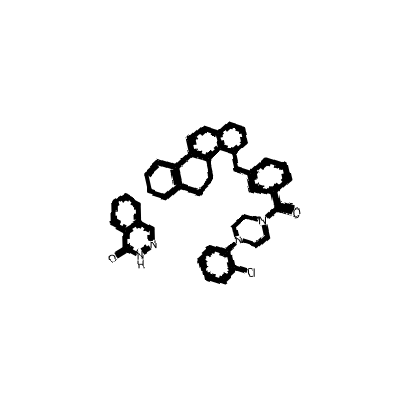 O=C(c1cccc(Cc2cccc3ccc4c(c23)CCC2=C4C=CCC2)c1)N1CCN(c2ccccc2Cl)CC1.O=c1[nH]ncc2ccccc12